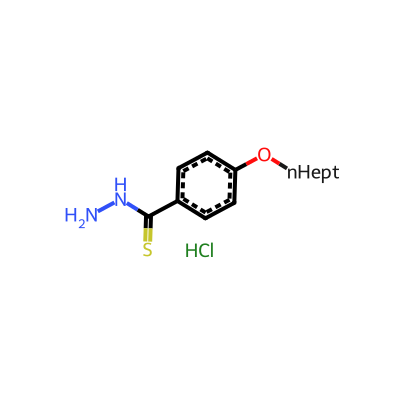 CCCCCCCOc1ccc(C(=S)NN)cc1.Cl